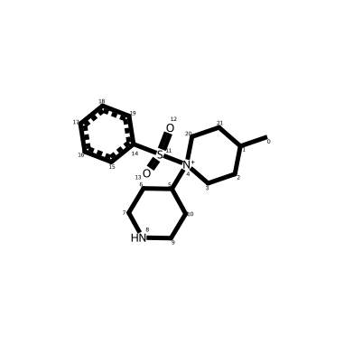 CC1CC[N+](C2CCNCC2)(S(=O)(=O)c2ccccc2)CC1